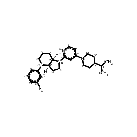 CC(C)C1CCN(c2ccnc(N3CC[C@@H]4[C@H]3CCCN4c3cccc(F)c3)c2)CC1